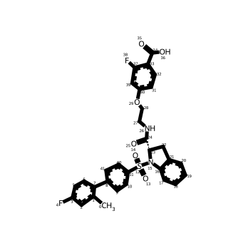 Cc1cc(F)ccc1-c1ccc(S(=O)(=O)N2c3ccccc3C[C@H]2C(=O)NCCOc2ccc(C(=O)O)c(F)c2)cc1